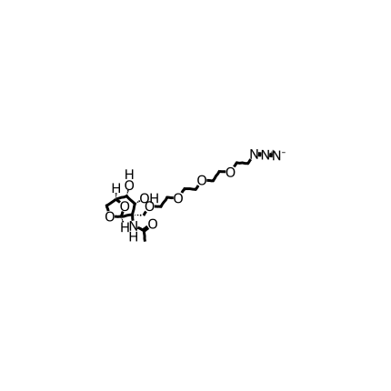 CC(=O)N[C@@]1(COCCOCCOCCOCCN=[N+]=[N-])[C@H]2OC[C@H](O2)[C@H](O)[C@@H]1O